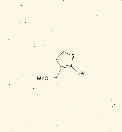 CCCc1sccc1COC